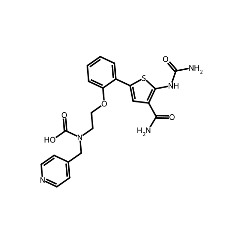 NC(=O)Nc1sc(-c2ccccc2OCCN(Cc2ccncc2)C(=O)O)cc1C(N)=O